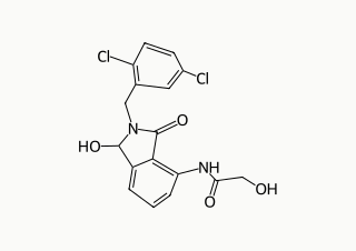 O=C(CO)Nc1cccc2c1C(=O)N(Cc1cc(Cl)ccc1Cl)C2O